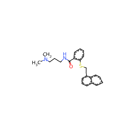 CN(C)CCCNC(=O)c1ccccc1SCc1cccc2ccccc12